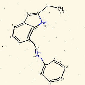 CCc1cc2cccc(/C=N/c3ccccc3)c2[nH]1